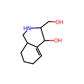 OCC1NCC2CCCC=C2C1O